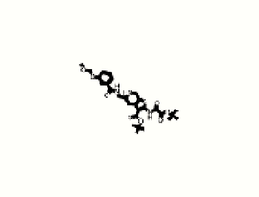 COCOc1cccc(C(=O)NCC2Cc3c(sc(NC(=O)C(=O)OC(C)(C)C)c3C(=O)OC(C)(C)C)CN2)c1